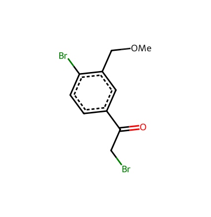 COCc1cc(C(=O)CBr)ccc1Br